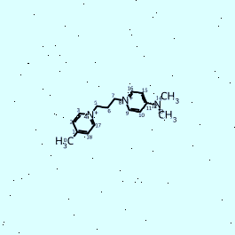 Cc1cc[n+](CCC[n+]2ccc(N(C)C)cc2)cc1